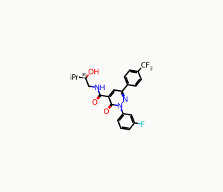 CC(C)[C@@H](O)CNC(=O)c1cc(-c2ccc(C(F)(F)F)cc2)nn(-c2cccc(F)c2)c1=O